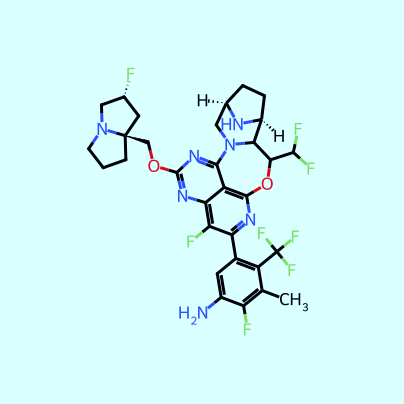 Cc1c(F)c(N)cc(-c2nc3c4c(nc(OC[C@@]56CCCN5C[C@H](F)C6)nc4c2F)N2C[C@H]4CC[C@H](N4)C2C(C(F)F)O3)c1C(F)(F)F